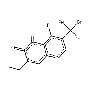 [2H]C([2H])(Br)c1ccc2cc(CC)c(=O)[nH]c2c1F